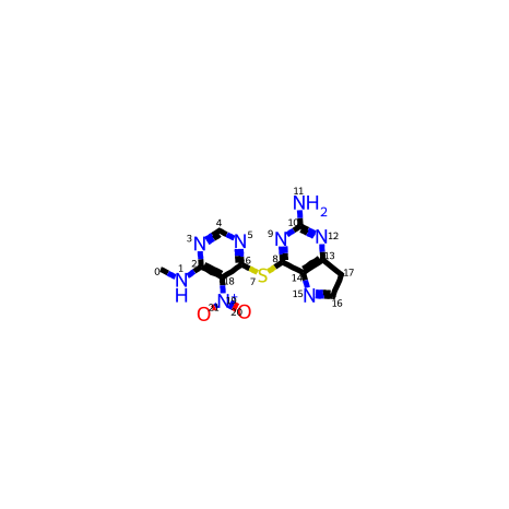 CNc1ncnc(Sc2nc(N)nc3c2N=CC3)c1[N+](=O)[O-]